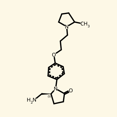 CC1CCCN1CCCOc1ccc(N2C(=O)CC[C@H]2CN)cc1